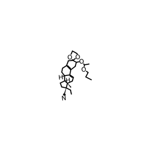 CCCOC(C)OC1CC2=C(CC[C@@H]3C2=CC[C@@]2(C)[C@H]3CC[C@@]2(C#N)CC)CC12OCCO2